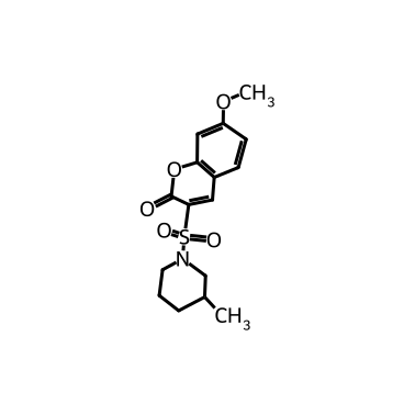 COc1ccc2cc(S(=O)(=O)N3CCCC(C)C3)c(=O)oc2c1